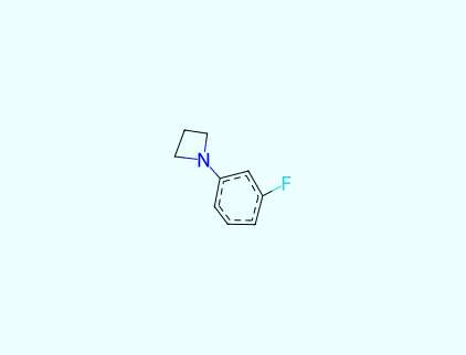 Fc1cccc(N2CCC2)c1